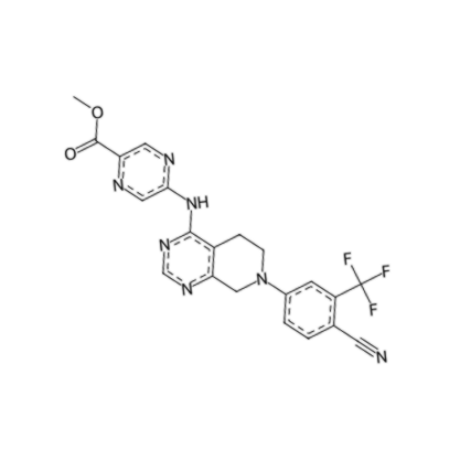 COC(=O)c1cnc(Nc2ncnc3c2CCN(c2ccc(C#N)c(C(F)(F)F)c2)C3)cn1